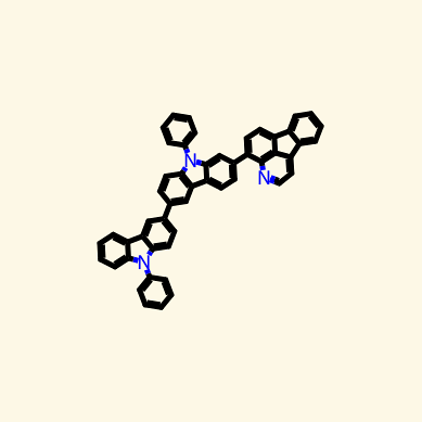 c1ccc(-n2c3ccccc3c3cc(-c4ccc5c(c4)c4ccc(-c6ccc7c8c(ccnc68)-c6ccccc6-7)cc4n5-c4ccccc4)ccc32)cc1